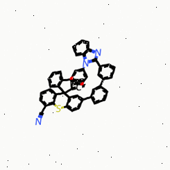 N#Cc1cccc2c1Sc1ccc(-c3cccc(-c4cccc(-c5nc6ccccc6n5-c5ccccc5)c4)c3)cc1C21c2ccccc2-c2ccccc21